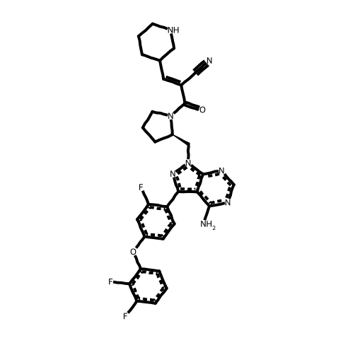 N#C/C(=C\C1CCCNC1)C(=O)N1CCC[C@@H]1Cn1nc(-c2ccc(Oc3cccc(F)c3F)cc2F)c2c(N)ncnc21